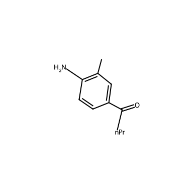 [CH2]CCC(=O)c1ccc(N)c(C)c1